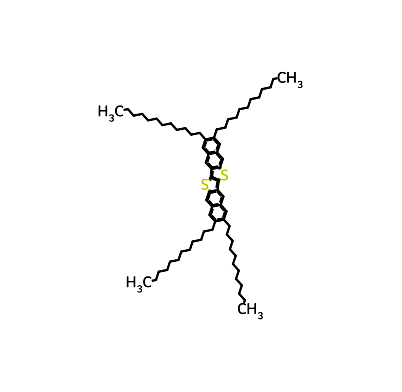 CCCCCCCCCCCCc1cc2cc3sc4c5cc6cc(CCCCCCCCCCCC)c(CCCCCCCCCCCC)cc6cc5sc4c3cc2cc1CCCCCCCCCCCC